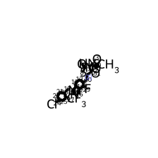 CS(=O)(=O)NN1C(=O)S/C(=C\c2ccc3c(cnn3Cc3ccc(Cl)cc3C(F)(F)F)c2F)C1=O